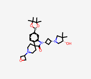 CC1(C)CN([C@H]2C[C@@H](N3C(=O)C4(CCN(C5COC5)CC4)c4ccc(B5OC(C)(C)C(C)(C)O5)cc43)C2)C[C@H]1O